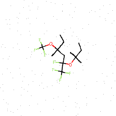 CCC(C)(C)OC(F)(CC(C)(CC)OC(F)(F)F)C(F)(F)F